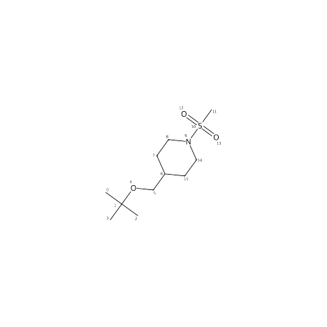 CC(C)(C)OCC1CCN(S(C)(=O)=O)CC1